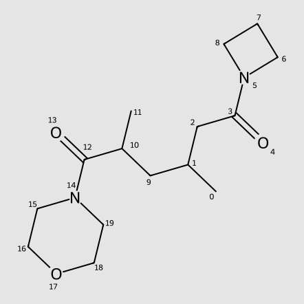 CC(CC(=O)N1CCC1)CC(C)C(=O)N1CCOCC1